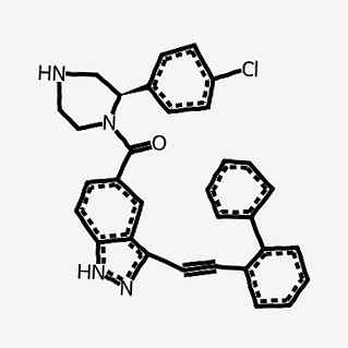 O=C(c1ccc2[nH]nc(C#Cc3ccccc3-c3ccccc3)c2c1)N1CCNC[C@H]1c1ccc(Cl)cc1